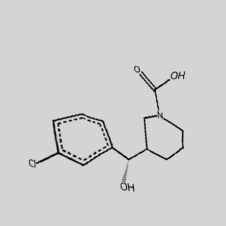 O=C(O)N1CCCC([C@H](O)c2cccc(Cl)c2)C1